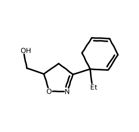 CCC1(C2=NOC(CO)C2)C=CC=CC1